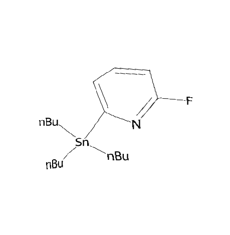 CCC[CH2][Sn]([CH2]CCC)([CH2]CCC)[c]1cccc(F)n1